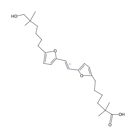 CC(C)(CO)CCCCc1ccc(/C=C/c2ccc(CCCCC(C)(C)C(=O)O)o2)o1